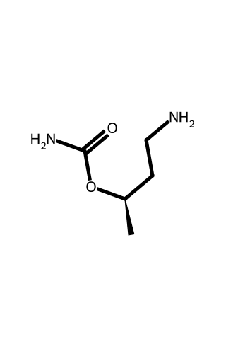 C[C@H](CCN)OC(N)=O